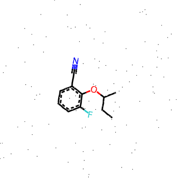 CCC(C)Oc1c(F)cccc1C#N